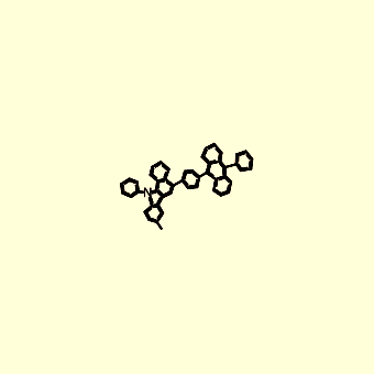 Cc1ccc2c(c1)c1cc(-c3ccc(-c4c5ccccc5c(-c5ccccc5)c5ccccc45)cc3)c3ccccc3c1n2-c1ccccc1